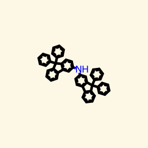 c1ccc(C2(c3ccccc3)c3ccccc3-c3cc(Nc4ccc5c(c4)C(c4ccccc4)(c4ccccc4)c4ccccc4-5)ccc32)cc1